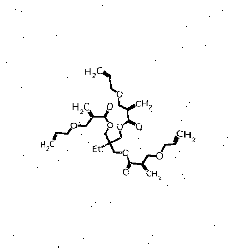 C=CCOCC(=C)C(=O)OCC(CC)(COC(=O)C(=C)COCC=C)COC(=O)C(=C)COCC=C